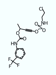 CC(C#COS(=O)(=O)NCCCl)OC(=O)Nc1cccc(C(F)(F)F)c1